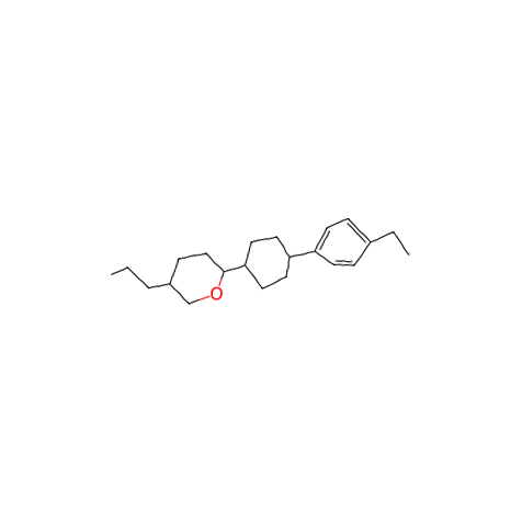 CCCC1CCC(C2CCC(c3ccc(CC)cc3)CC2)OC1